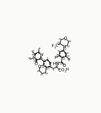 Cc1nc(-c2ccc(CC(NC(=O)c3c(F)cc(N4CCOCC4C(F)(F)F)cc3F)C(=O)O)c3c2OCCC3)c(=O)n(C)c1C